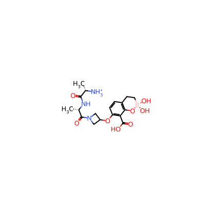 C[C@H]([NH3+])C(=O)N[C@@H](C)C(=O)N1CC(Oc2ccc3c(c2C(=O)O)O[B-](O)(O)CC3)C1